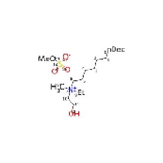 CCCCCCCCCCCCCCCC[N+](C)(CC)CCO.COS(=O)(=O)[O-]